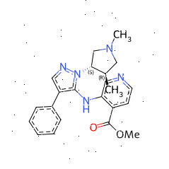 COC(=O)c1ccncc1Nc1c(-c2ccccc2)cnn1[C@@H]1CN(C)C[C@H]1C